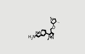 C[C@H]1CN(C)C[C@@H]1OCc1cnn(C)c1-c1ccn2nc(N)cc2c1